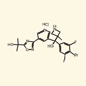 CC(C)c1c(F)cc([C@](O)(c2cncc(-c3noc(C(C)(C)O)n3)c2)C2(C)CNC2)cc1F.Cl